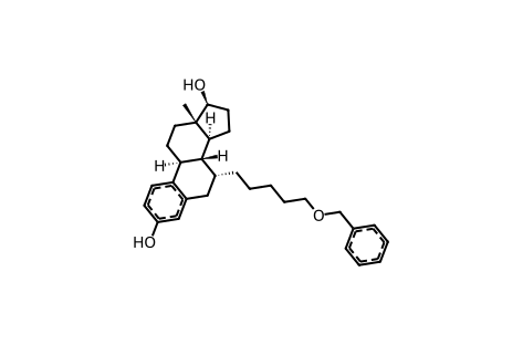 C[C@]12CC[C@@H]3c4ccc(O)cc4C[C@@H](CCCCCOCc4ccccc4)[C@H]3[C@@H]1CC[C@@H]2O